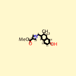 COC(=O)C1CN(CC2=Cc3ccc(O)cc3C[C@H]2C)C1